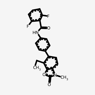 CCc1c(-c2ccc(NC(=O)c3c(F)cccc3F)cc2)ccc2c1oc(=O)n2C